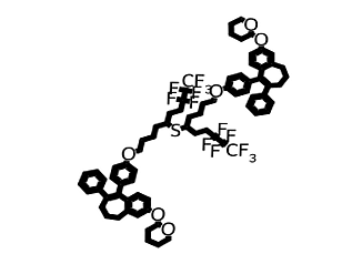 FC(F)(F)C(F)(F)C(F)(F)CCC(CCCCOc1ccc(C2=C(c3ccccc3)CCCc3cc(OC4CCCCO4)ccc32)cc1)SC(CCCCOc1ccc(C2=C(c3ccccc3)CCCc3cc(OC4CCCCO4)ccc32)cc1)CCC(F)(F)C(F)(F)C(F)(F)F